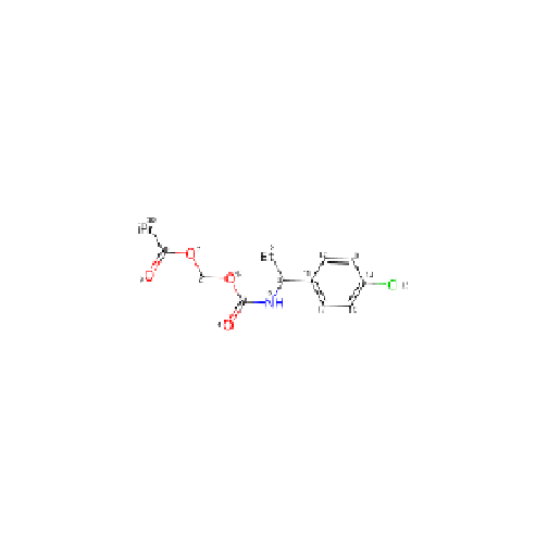 [CH2]CC(NC(=O)OCOC(=O)C(C)C)c1ccc(Cl)cc1